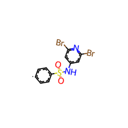 O=S(=O)(Nc1cc(Br)nc(Br)c1)c1cc[c]cc1